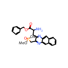 COP(=O)(Cc1nc2cc3ccccc3cc2nc1CC(N)C(=O)OCc1ccccc1)OC